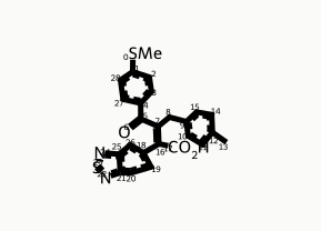 CSc1ccc(C(=O)C(Cc2ccc(C)cc2)=C(C(=O)O)c2ccc3nsnc3c2)cc1